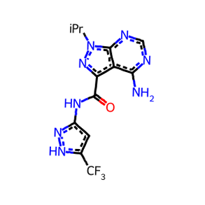 CC(C)n1nc(C(=O)Nc2cc(C(F)(F)F)[nH]n2)c2c(N)ncnc21